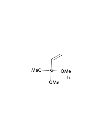 C=C[Si](OC)(OC)OC.[Ti]